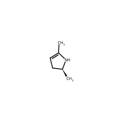 CC1=CC[C@H](C)N1